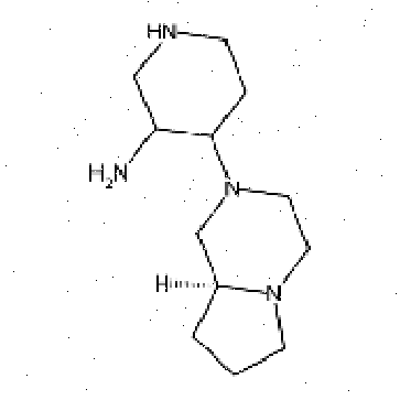 NC1CNCCC1N1CCN2CCC[C@H]2C1